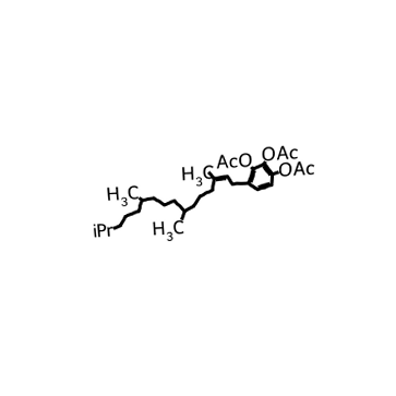 CC(=O)Oc1ccc(CC=C(C)CCCC(C)CCCC(C)CCCC(C)C)c(OC(C)=O)c1OC(C)=O